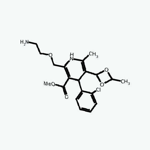 COC(=O)C1=C(COCCN)NC(C)=C(C2OC(C)O2)C1c1ccccc1Cl